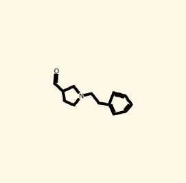 O=CC1CCN(CCc2ccccc2)C1